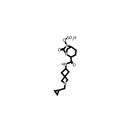 O=C(NC1CC2(C1)CN(CC1CC1)C2)C1CCC2CN1C(=O)N2OS(=O)(=O)O